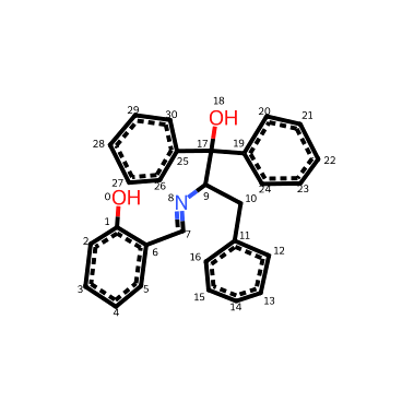 Oc1ccccc1C=NC(Cc1ccccc1)C(O)(c1ccccc1)c1ccccc1